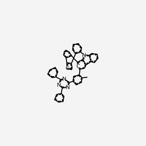 Cc1ccc(-c2nc(-c3ccccc3)nc(-c3ccccc3)n2)cc1-c1cc2c3c(c1)c1ccccc1n3-c1ccccc1C21c2ccccc2-c2ccccc21